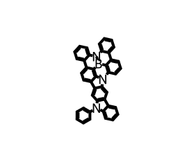 c1ccc(-n2c3ccccc3c3cc4c(cc32)c2ccc3c5c2n4-c2cccc4c2B5N(c2ccccc2-4)c2ccccc2-3)cc1